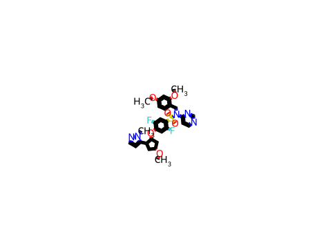 COc1ccc(CN(c2ccncn2)S(=O)(=O)c2cc(F)c(OC3CC(OC)CC3c3ccnn3C)cc2F)c(OC)c1